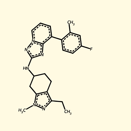 CCc1nn(C)c2c1CCC(Nc1nc3c(-c4ccc(F)cc4C)cccn3n1)C2